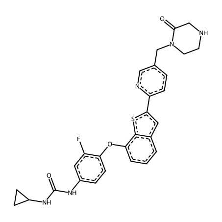 O=C(Nc1ccc(Oc2cccc3cc(-c4ccc(CN5CCNCC5=O)cn4)sc23)c(F)c1)NC1CC1